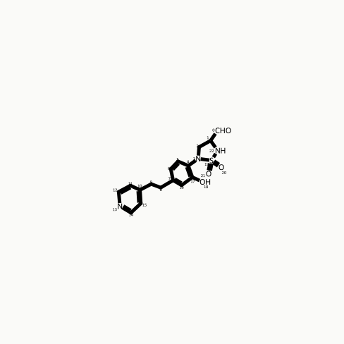 O=CC1CN(c2ccc(CCc3ccncc3)cc2O)S(=O)(=O)N1